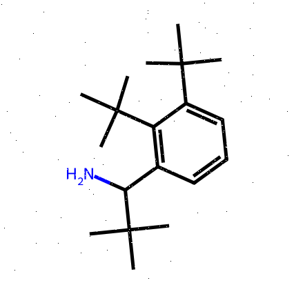 CC(C)(C)c1cccc(C(N)C(C)(C)C)c1C(C)(C)C